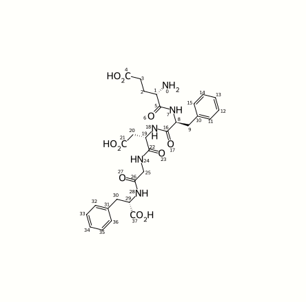 N[C@@H](CCC(=O)O)C(=O)N[C@@H](Cc1ccccc1)C(=O)N[C@@H](CC(=O)O)C(=O)NCC(=O)N[C@@H](Cc1ccccc1)C(=O)O